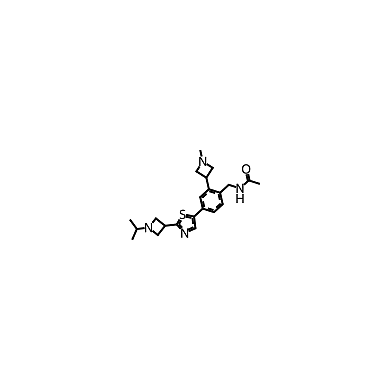 CC(=O)NCc1ccc(-c2cnc(C3CN(C(C)C)C3)s2)cc1C1CN(C)C1